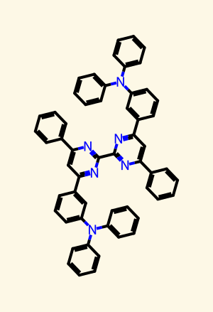 c1ccc(-c2cc(-c3cccc(N(c4ccccc4)c4ccccc4)c3)nc(-c3nc(-c4ccccc4)cc(-c4cccc(N(c5ccccc5)c5ccccc5)c4)n3)n2)cc1